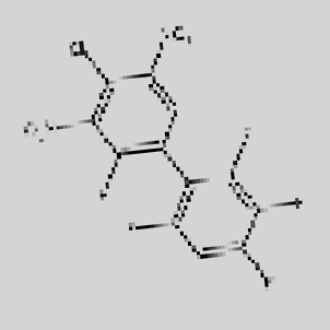 O=[N+]([O-])c1cc(-c2c(F)cc(F)c(F)c2F)c(F)c([N+](=O)[O-])c1Cl